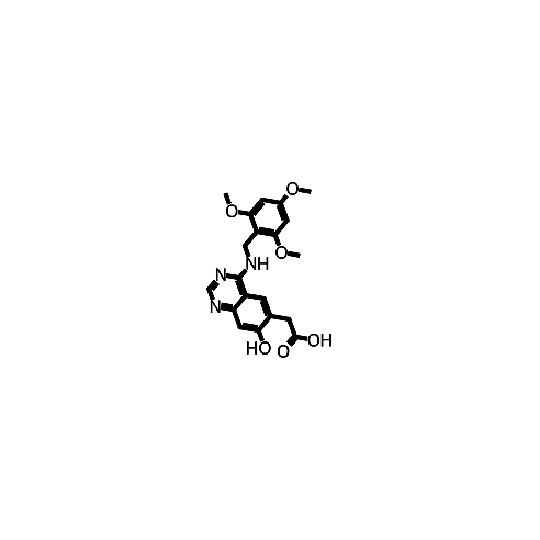 COc1cc(OC)c(CNc2ncnc3cc(O)c(CC(=O)O)cc23)c(OC)c1